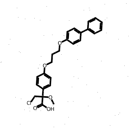 COC(CCl)(C(=O)O)c1ccc(OCCCOc2ccc(-c3ccccc3)cc2)cc1